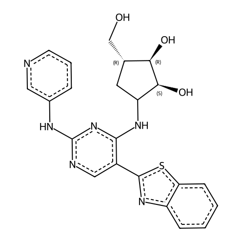 OC[C@H]1CC(Nc2nc(Nc3cccnc3)ncc2-c2nc3ccccc3s2)[C@H](O)[C@@H]1O